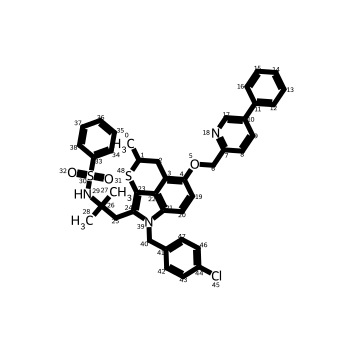 CC1Cc2c(OCc3ccc(-c4ccccc4)cn3)ccc3c2c(c(CC(C)(C)NS(=O)(=O)c2ccccc2)n3Cc2ccc(Cl)cc2)S1